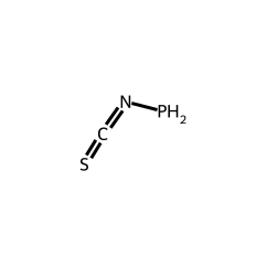 PN=C=S